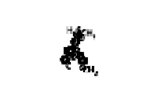 COc1ccc2c(c1)CC(Oc1c(N3CCN(S(=O)(=O)C(C)C)CC3)cnn(-c3cccc(Cl)c3)c1=O)C2